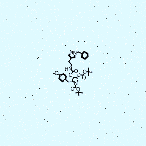 COc1ccc(C[C@@H]2[C@H](OC(=O)NCCc3cnn(Cc4ccccc4)c3)[C@@H](OC(=O)OC(C)(C)C)CN2C(=O)OC(C)(C)C)cc1